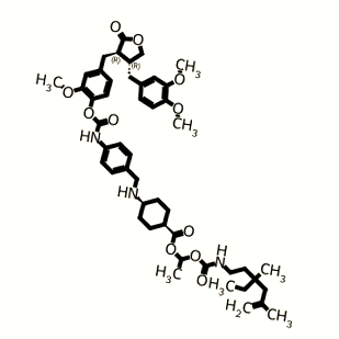 C=C(C)CC(C)(CC)CCNC(=O)OC(C)OC(=O)[C@H]1CC[C@@H](NCc2ccc(NC(=O)Oc3ccc(C[C@H]4C(=O)OC[C@@H]4Cc4ccc(OC)c(OC)c4)cc3OC)cc2)CC1